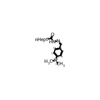 CCCCCCCC(=O)N/N=C\c1ccc(N(C)C)cc1